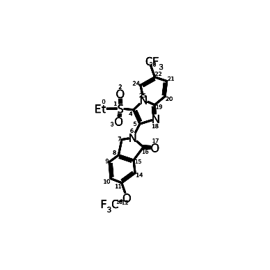 CCS(=O)(=O)c1c(N2Cc3ccc(OC(F)(F)F)cc3C2=O)nc2ccc(C(F)(F)F)cn12